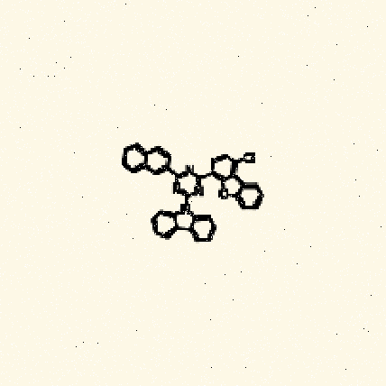 Clc1ccc(-c2nc(-c3ccc4ccccc4c3)nc(-n3c4ccccc4c4ccccc43)n2)c2oc3ccccc3c12